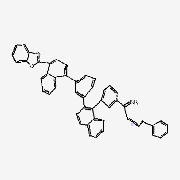 N=C(/C=C\Cc1ccccc1)c1cccc(-c2c(-c3cccc(-c4ccc(-c5nc6ccccc6o5)c5ccccc45)c3)ccc3ccccc23)c1